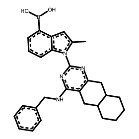 Cc1cc2c(B(O)O)cccc2n1-c1nc2c(c(NCc3ccccc3)n1)CC1CCCCC1C2